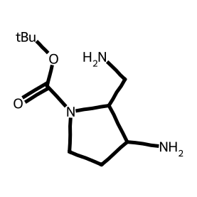 CC(C)(C)OC(=O)N1CCC(N)C1CN